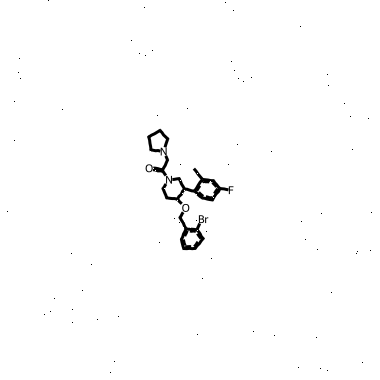 Cc1cc(F)ccc1C1CN(C(=O)CN2CCCC2)CCC1OCc1ccccc1Br